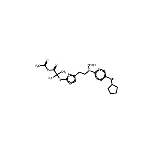 CCCCCCCN(CCc1csc(SC(C)(C)C(=O)OC(=O)C(F)(F)F)n1)c1ncc(NC2CCCC2)cn1